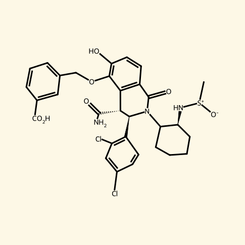 C[S+]([O-])N[C@H]1CCCCC1N1C(=O)c2ccc(O)c(OCc3cccc(C(=O)O)c3)c2[C@@H](C(N)=O)[C@@H]1c1ccc(Cl)cc1Cl